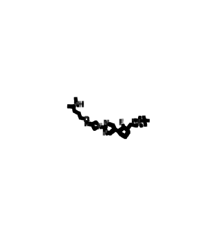 C=C(CCCON=C1CN(c2ncc(-c3cccc(CC[SH](C)(C)(C)C(C)(C)C)c3F)cn2)C1)NC